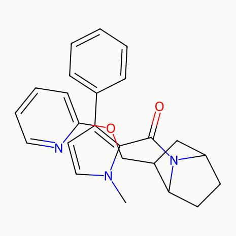 Cn1ccc(-c2ccccc2)c1C(=O)N1C2CCC1C(COc1ccccn1)C2